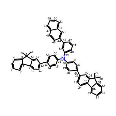 CC1(C)c2ccccc2-c2ccc(-c3ccc(N(c4ccc(-c5ccc6c(c5)C(C)(C)c5ccccc5-6)cc4)c4cccc(-c5ccc6ccccc6c5)c4)cc3)cc21